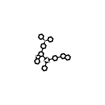 c1ccc(-c2nc(-c3ccc(-c4ccc5ccccc5c4)cc3)nc(-c3cc(-c4ccc(N(c5ccccc5)c5ccccc5)cc4)cc4oc5ccccc5c34)n2)cc1